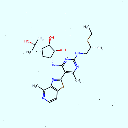 CCS[C@H](C)CNc1nc(C)c(-c2nc3c(C)nccc3s2)c(N[C@@H]2C[C@H](C(C)(C)O)[C@@H](O)[C@H]2O)n1